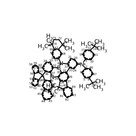 CC(C)(C)c1ccc(N(c2ccc(C(C)(C)C)cc2)c2ccc3c(c2)-c2cc4c(c5c2B(c2cccc6c2N5c2cc5ccccc5cc2C62c5ccccc5-c5ccccc52)N3c2ccc3c(c2)C(C)(C)CCC3(C)C)C(C)(C)c2ccccc2-4)cc1